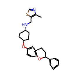 Cc1ncsc1CN[C@H]1CC[C@H](Oc2ccc3c(c2)CCC(c2ccccc2)O3)CC1